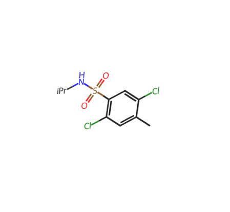 Cc1cc(Cl)c(S(=O)(=O)NC(C)C)cc1Cl